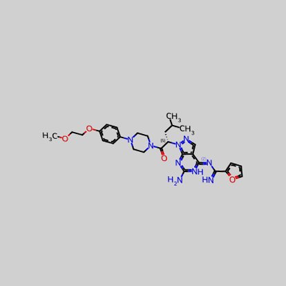 COCCOc1ccc(N2CCN(C(=O)[C@H](CC(C)C)n3ncc4/c(=N/C(=N)c5ccco5)[nH]c(N)nc43)CC2)cc1